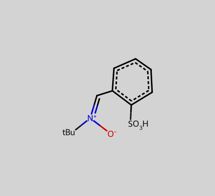 CC(C)(C)/[N+]([O-])=C/c1ccccc1S(=O)(=O)O